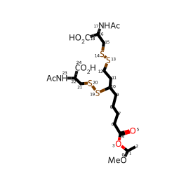 COC(C)OC(=O)CCCCC(CCSSCC(NC(C)=O)C(=O)O)SSCC(NC(C)=O)C(=O)O